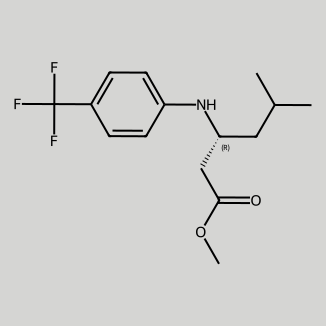 COC(=O)C[C@@H](CC(C)C)Nc1ccc(C(F)(F)F)cc1